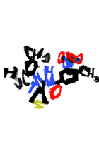 Cc1ccc(-n2nc3c(c2NC(=O)c2ccc(C)c([N+](=O)[O-])c2)CSC3)c(C)c1